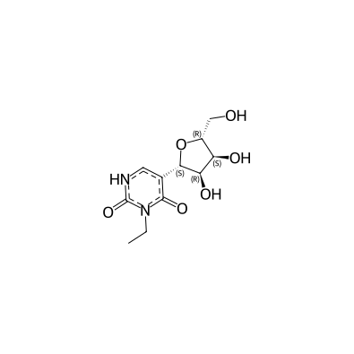 CCn1c(=O)[nH]cc([C@@H]2O[C@H](CO)[C@@H](O)[C@H]2O)c1=O